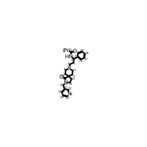 CC(C)C(=O)NC(CCN1CCC2(CC1)CCN(Cc1cccnc1)C2=O)c1ccccc1